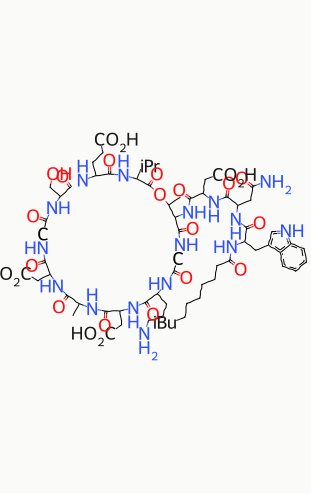 CCC(C)CCCCCCC(=O)NC(Cc1c[nH]c2ccccc12)C(=O)NC(CC(N)=O)C(=O)NC(CC(=O)O)C(=O)NC1C(=O)NCC(=O)NC(CCCN)C(=O)NC(CC(=O)O)C(=O)NC(C)C(=O)NC(CC(=O)O)C(=O)NCC(=O)NC(CO)C(=O)NC(CCC(=O)O)C(=O)NC(C(C)C)C(=O)OC1C